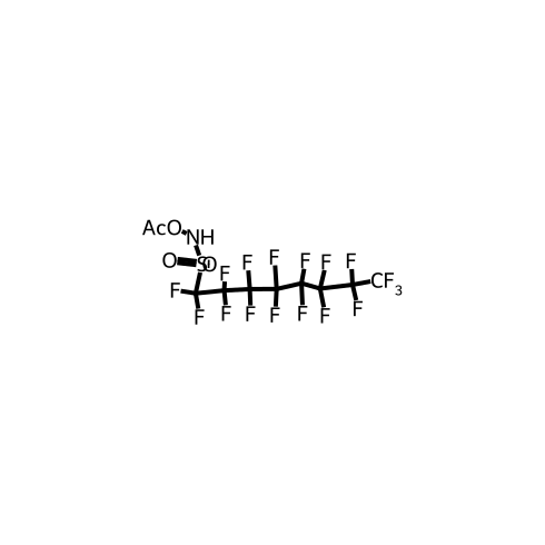 CC(=O)ONS(=O)(=O)C(F)(F)C(F)(F)C(F)(F)C(F)(F)C(F)(F)C(F)(F)C(F)(F)C(F)(F)F